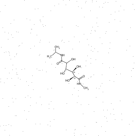 CNC(=O)[C@@H](O)[C@H](O)C(O)C(O)C(=O)NC(C)C